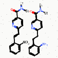 CCN(CC)C(=O)c1ccc(C=Cc2ccccc2[N+](=O)[O-])nc1.CCN(CC)C(=O)c1ccc(CCc2ccccc2N)nc1